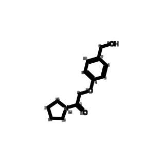 O=C(COc1ccc(CO)cc1)N1CCCC1